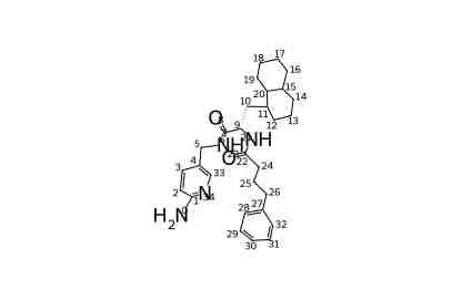 Nc1ccc(CNC(=O)[C@H](CC2CCCC3CCCCC32)NC(=O)CCCc2ccccc2)cn1